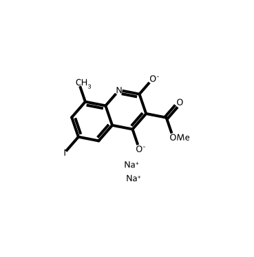 COC(=O)c1c([O-])nc2c(C)cc(I)cc2c1[O-].[Na+].[Na+]